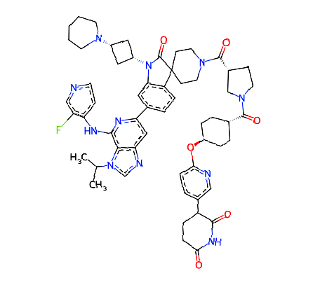 CC(C)n1cnc2cc(-c3ccc4c(c3)N([C@H]3C[C@@H](N5CCCCC5)C3)C(=O)C43CCN(C(=O)[C@@H]4CCN(C(=O)[C@H]5CC[C@H](Oc6ccc(C7CCC(=O)NC7=O)cn6)CC5)C4)CC3)nc(Nc3ccncc3F)c21